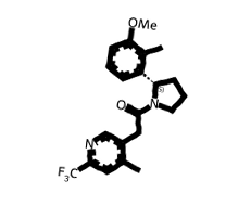 COc1cccc([C@@H]2CCCN2C(=O)Cc2cnc(C(F)(F)F)cc2C)c1C